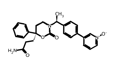 C[C@@H](c1ccc(-c2ccc[n+]([O-])c2)cc1)N1CC[C@](CCC(N)=O)(c2ccccc2)OC1=O